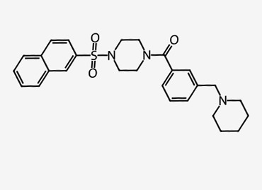 O=C(c1cccc(CN2CCCCC2)c1)N1CCN(S(=O)(=O)c2ccc3ccccc3c2)CC1